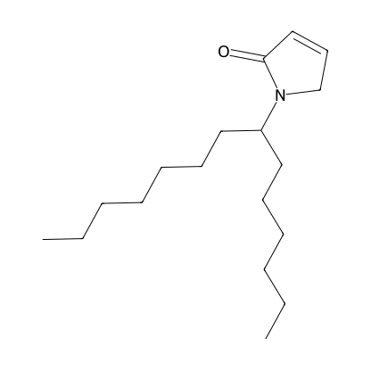 CCCCCCCC(CCCCCC)N1CC=CC1=O